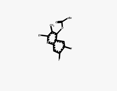 CCCCC(=O)Oc1c(C)c(CC)nc2cc(F)c(F)cc12